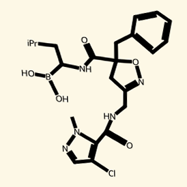 CC(C)CC(NC(=O)C1(Cc2ccccc2)CC(CNC(=O)c2c(Cl)cnn2C)=NO1)B(O)O